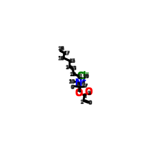 C=CC(=O)OC(C)(C)[N+](C)(C)CCCCCCCC.[Cl-]